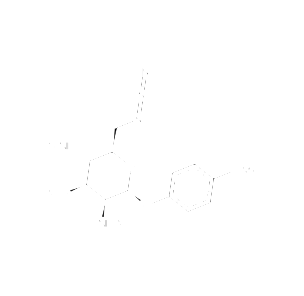 COc1ccc(O[C@@H]2O[C@H](CN=[N+]=[N-])[C@@H](NC(C)=O)[C@H](OC(C)=O)[C@@H]2NC(C)=O)cc1